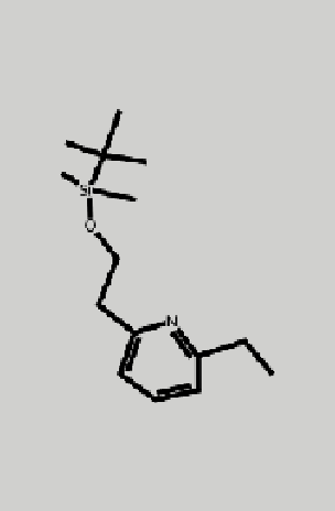 CCc1cccc(CCO[Si](C)(C)C(C)(C)C)n1